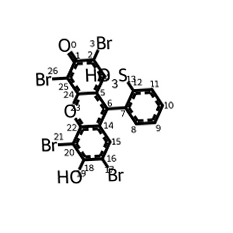 O=c1c(Br)cc2c(-c3ccccc3S(=O)(=O)O)c3cc(Br)c(O)c(Br)c3oc-2c1Br